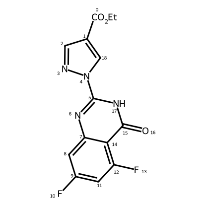 CCOC(=O)c1cnn(-c2nc3cc(F)cc(F)c3c(=O)[nH]2)c1